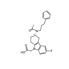 CC(=O)N(CCCc1ccccc1)[C@H]1CCc2c(c3cc(F)ccc3n2CC(=O)O)C1